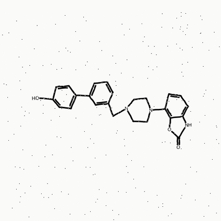 O=c1[nH]c2cccc(N3CCN(Cc4cccc(-c5ccc(O)cc5)c4)CC3)c2o1